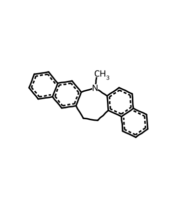 CN1c2cc3ccccc3cc2CCc2c1ccc1ccccc21